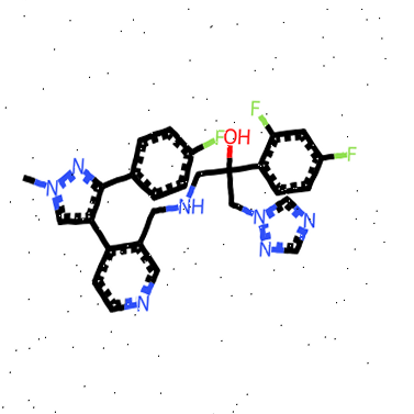 Cn1cc(-c2ccncc2CNCC(O)(Cn2cncn2)c2ccc(F)cc2F)c(-c2ccc(F)cc2)n1